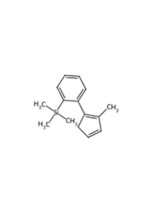 CC1=C(c2ccccc2[Si](C)(C)C)CC=C1